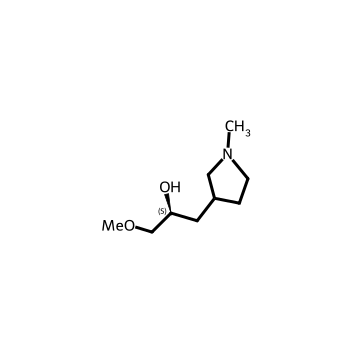 COC[C@@H](O)CC1CCN(C)C1